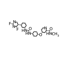 CNC(=O)c1cc(Oc2ccc(NC(=O)Nc3cccc(-c4cnc(F)nc4F)c3)cc2)ccn1